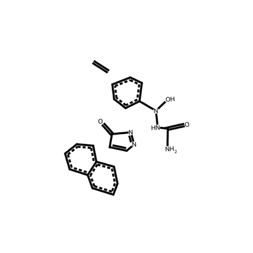 C=C.NC(=O)NN(O)c1ccccc1.O=C1C=CN=N1.c1ccc2ccccc2c1